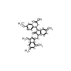 COc1ccc([C@@H](CC(=O)O)n2c(=O)n(Cc3cn(C)c4cc(C)cc(C)c34)c3ccc(C)cc32)cn1